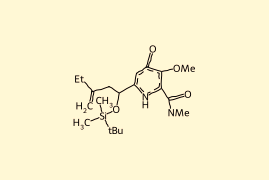 C=C(CC)CC(O[Si](C)(C)C(C)(C)C)c1cc(=O)c(OC)c(C(=O)NC)[nH]1